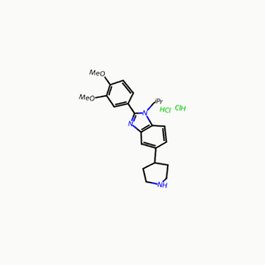 COc1ccc(-c2nc3cc(C4CCNCC4)ccc3n2C(C)C)cc1OC.Cl.Cl